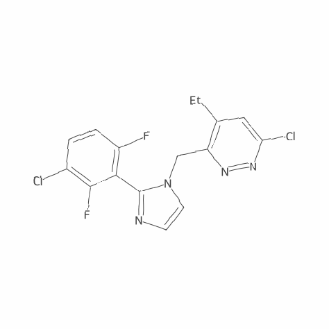 CCc1cc(Cl)nnc1Cn1ccnc1-c1c(F)ccc(Cl)c1F